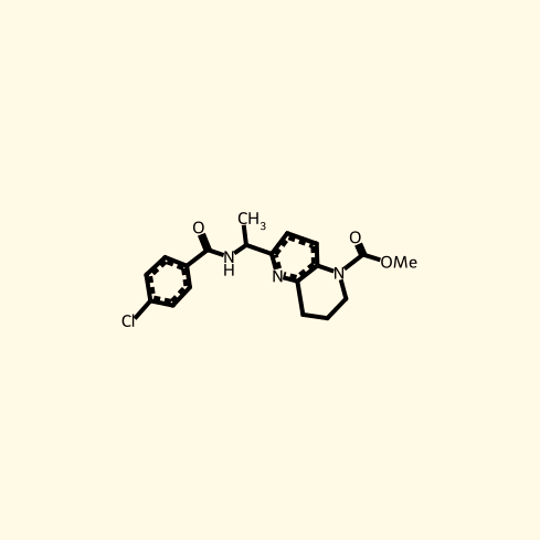 COC(=O)N1CCCc2nc(C(C)NC(=O)c3ccc(Cl)cc3)ccc21